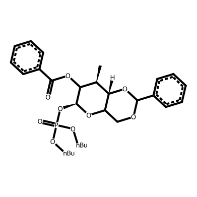 CCCCOP(=O)(OCCCC)O[C@@H]1OC2COC(c3ccccc3)O[C@H]2[C@H](C)C1OC(=O)c1ccccc1